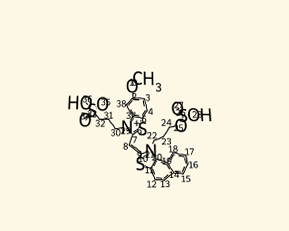 COc1ccc2sc(C=C3Sc4ccc5ccccc5c4N3CCCOS(=O)O)[n+](CCCS(=O)(=O)O)c2c1